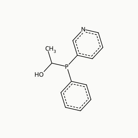 CC(O)P(c1ccccc1)c1cccnc1